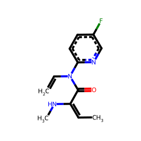 C=CN(C(=O)/C(=C\C)NC)c1ccc(F)cn1